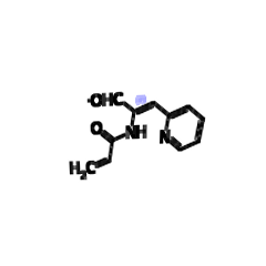 C=CC(=O)N/C([C]=O)=C\c1ccccn1